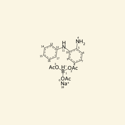 CC(=O)O[BH-](OC(C)=O)OC(C)=O.Nc1ccccc1Nc1ccccc1.[Na+]